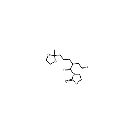 C=CCC(CCCC1(C)OCCO1)C(=O)N1CCOC1=O